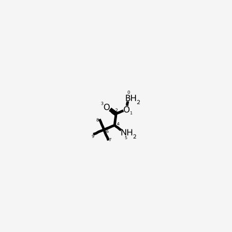 BOC(=O)C(N)C(C)(C)C